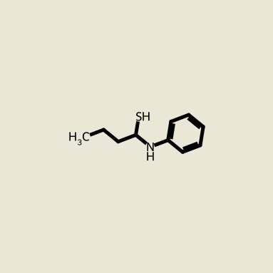 CCCC(S)Nc1ccccc1